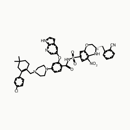 CC1(C)CCC(CN2CCN(c3ccc(C(=O)NS(=O)(=O)c4cc5c(c([N+](=O)[O-])c4)N[C@@H](Cc4ccccc4C#N)CO5)c(Oc4cnc5[nH]ccc5c4)c3)CC2)=C(c2ccc(Cl)cc2)C1